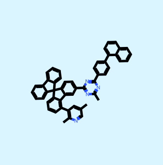 Cc1cnc(C)c(-c2cccc3c2-c2cc(-c4nc(C)nc(-c5ccc(-c6cccc7ccccc67)cc5)n4)ccc2C32c3ccccc3-c3ccccc32)c1